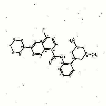 C[C@@H]1C[C@H](N)C[C@H](c2ccncc2NC(=O)c2ccc(F)c3cc(N4CCCCO4)cnc23)C1